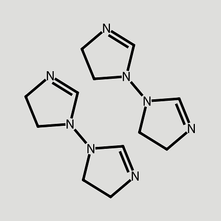 C1=NCCN1N1C=NCC1.C1=NCCN1N1C=NCC1